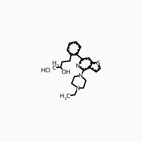 CCN1CCN(c2nc(-c3ccccc3CCC(C)O)cc3sccc23)CC1.Cl